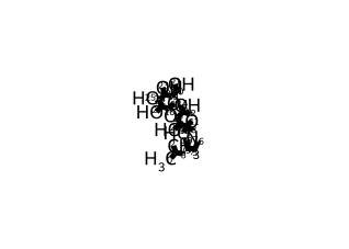 CC(C)C[C@H]1CCN(CC2(O)OCC(O)C(OC3OC(CO)C(O)C(O)C3O)C2O)C1